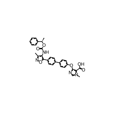 Cc1noc(-c2ccc(-c3ccc(Oc4ncn(C)c4C(=O)O)cc3)cc2)c1NC(=O)O[C@H](C)c1ccccc1